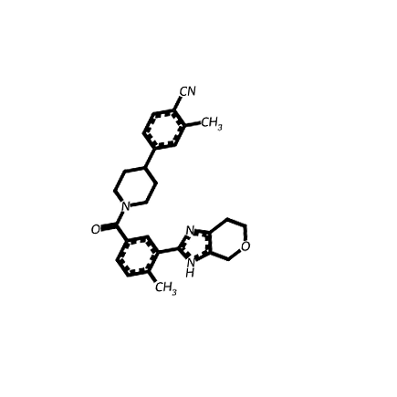 Cc1cc(C2CCN(C(=O)c3ccc(C)c(-c4nc5c([nH]4)COCC5)c3)CC2)ccc1C#N